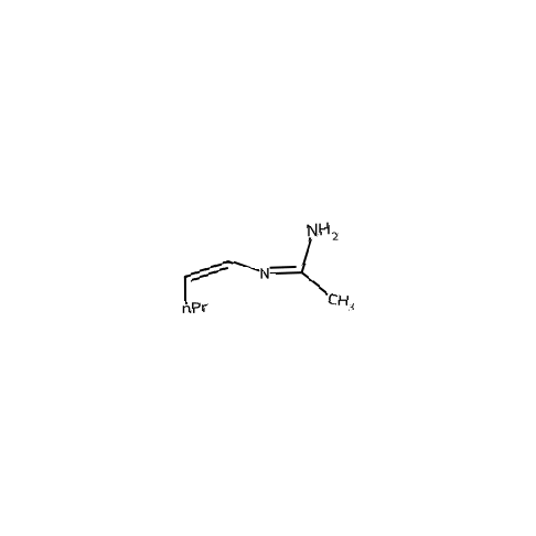 CCC/C=C\N=C(\C)N